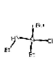 CCCC[Si](Cl)(CC)NCC